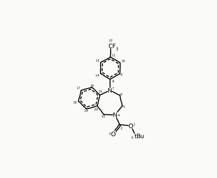 CC(C)(C)OC(=O)N1CCN(c2ccc(C(F)(F)F)cc2)c2ccccc2C1